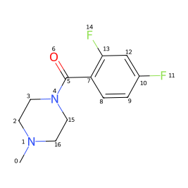 CN1CCN(C(=O)c2ccc(F)cc2F)CC1